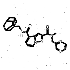 CN(Cc1cnccn1)C(=O)c1cc2c(C(=O)NCC34CC5CC(CC(C5)C3)C4)cccn2n1